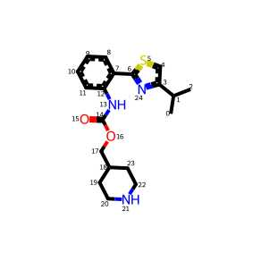 CC(C)c1csc(-c2ccccc2NC(=O)OCC2CCNCC2)n1